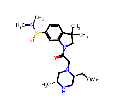 COC[C@H]1CN[C@H](C)CN1CC(=O)N1CC(C)(C)c2ccc([S+]([O-])N(C)C)cc21